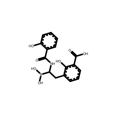 O=C(NC(Cc1cccc(C(=O)O)c1O)B(O)O)c1ccccc1O